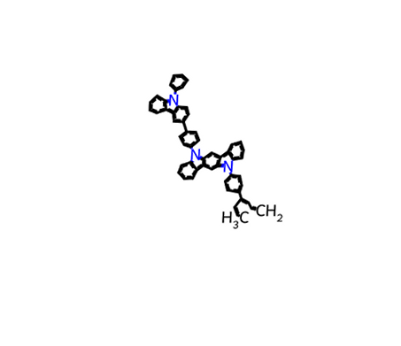 C=C/C=C(\C=C/C)c1ccc(-n2c3ccccc3c3cc4c(cc32)c2ccccc2n4-c2ccc(-c3ccc4c(c3)c3ccccc3n4-c3ccccc3)cc2)cc1